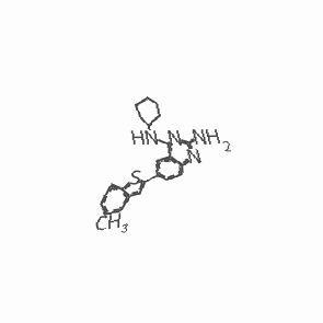 Cc1ccc2sc(-c3ccc4nc(N)nc(NC5CCCCC5)c4c3)cc2c1